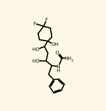 NC(=O)NC(Cc1ccccc1)C(O)CC(O)C1(O)CCC(F)(F)CC1